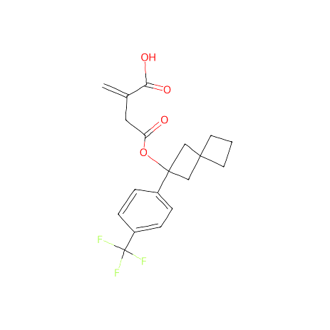 C=C(CC(=O)OC1(c2ccc(C(F)(F)F)cc2)CC2(CCC2)C1)C(=O)O